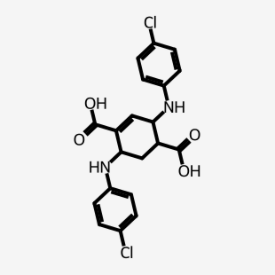 O=C(O)C1=CC(Nc2ccc(Cl)cc2)C(C(=O)O)CC1Nc1ccc(Cl)cc1